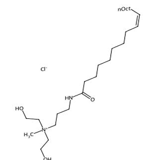 CCCCCCCC/C=C\CCCCCCCC(=O)NCCC[N+](C)(CCO)CCO.[Cl-]